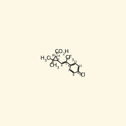 CC1(C)C(C=C(c2ccc(Cl)cc2)C(F)(F)F)[C@H]1C(=O)O